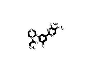 C=CC(=O)N1CCOC[C@H]1c1cc(Cl)cc(-c2ncc(N)c(OC)n2)c1